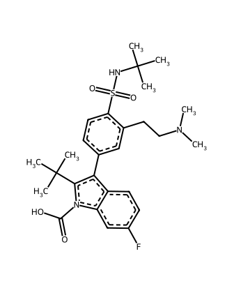 CN(C)CCc1cc(-c2c(C(C)(C)C)n(C(=O)O)c3cc(F)ccc23)ccc1S(=O)(=O)NC(C)(C)C